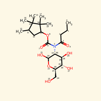 CCCC(=O)N(C(=O)OC1CC(C)C(C)(C)C1(C)C)[C@H]1C(O)O[C@H](CO)[C@@H](O)[C@@H]1O